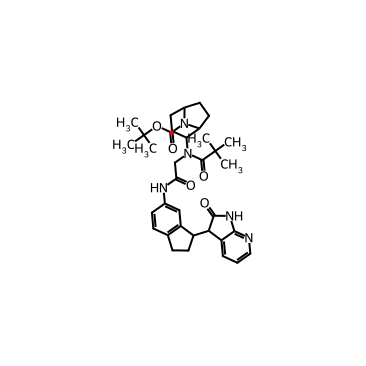 CC(C)(C)OC(=O)N1C2CCC(N(CC(=O)Nc3ccc4c(c3)C(C3C(=O)Nc5ncccc53)CC4)C(=O)C(C)(C)C)C1CC2